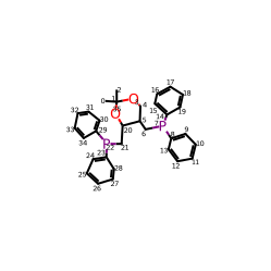 CC1(C)OCC(CP(c2ccccc2)c2ccccc2)C(CP(c2ccccc2)c2ccccc2)O1